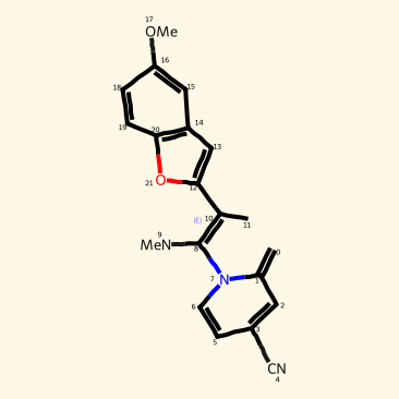 C=C1C=C(C#N)C=CN1/C(NC)=C(\C)c1cc2cc(OC)ccc2o1